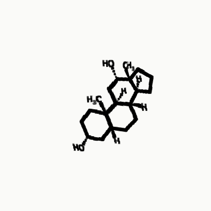 C[C@]12CC[C@@H](O)C[C@H]1CC[C@@H]1[C@@H]2C[C@H](O)[C@]2(C)CCC[C@@H]12